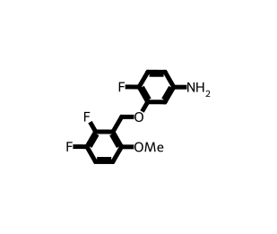 COc1ccc(F)c(F)c1COc1cc(N)ccc1F